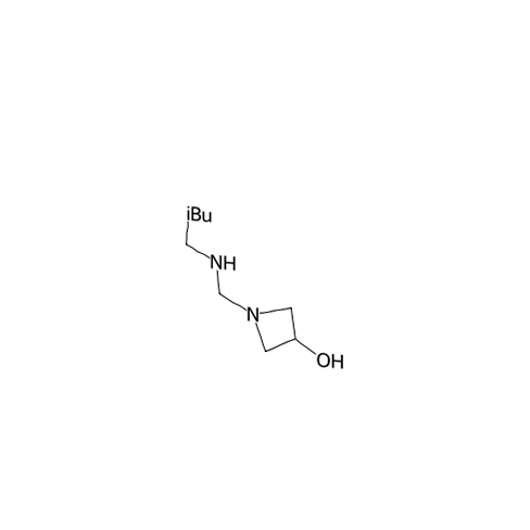 CCC(C)CNCN1CC(O)C1